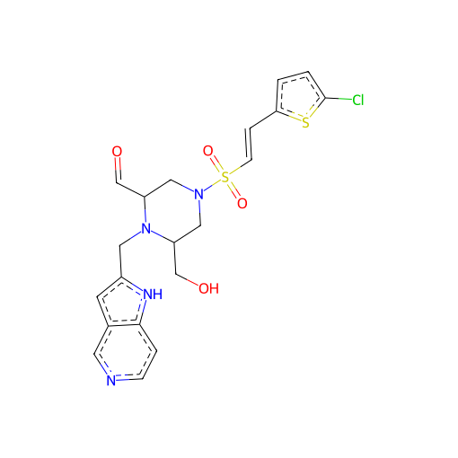 O=CC1CN(S(=O)(=O)C=Cc2ccc(Cl)s2)CC(CO)N1Cc1cc2cnccc2[nH]1